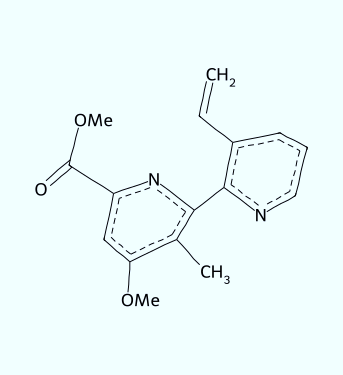 C=Cc1cccnc1-c1nc(C(=O)OC)cc(OC)c1C